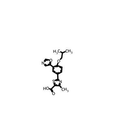 Cc1nc(-c2ccc(OCC(C)C)c(-c3cnco3)c2)sc1C(=O)O